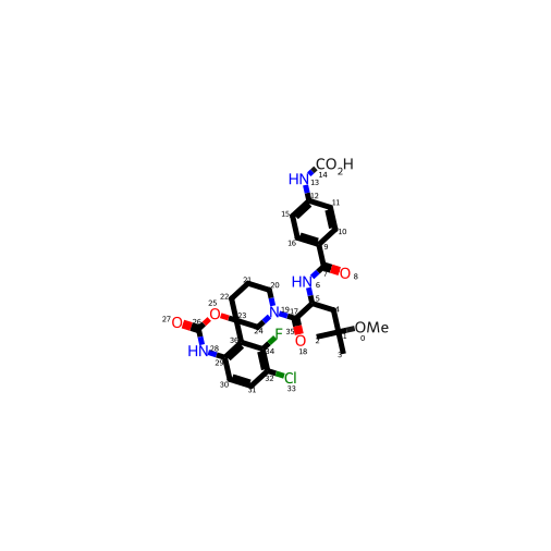 COC(C)(C)CC(NC(=O)c1ccc(NC(=O)O)cc1)C(=O)N1CCCC2(C1)OC(=O)Nc1ccc(Cl)c(F)c12